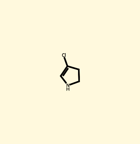 ClC1=CNCC1